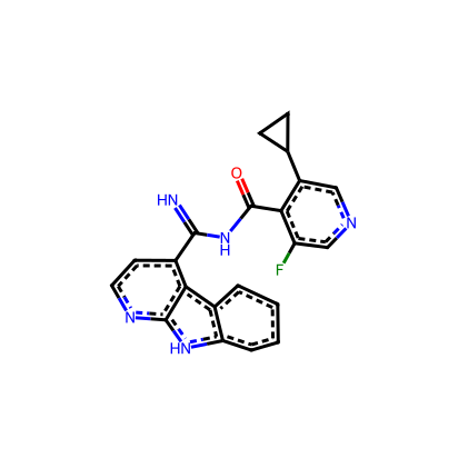 N=C(NC(=O)c1c(F)cncc1C1CC1)c1ccnc2[nH]c3ccccc3c12